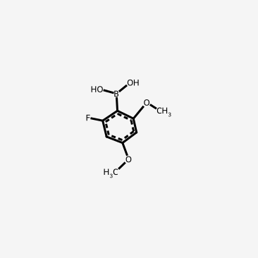 COc1cc(F)c(B(O)O)c(OC)c1